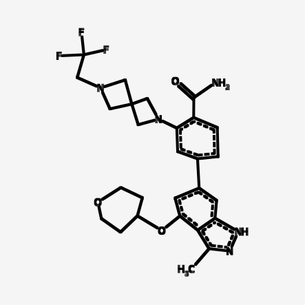 Cc1n[nH]c2cc(-c3ccc(C(N)=O)c(N4CC5(CN(CC(F)(F)F)C5)C4)c3)cc(OC3CCOCC3)c12